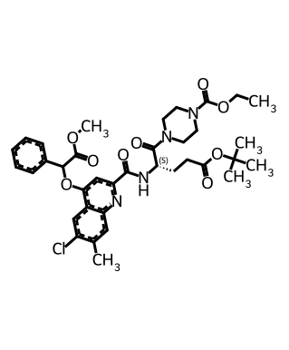 CCOC(=O)N1CCN(C(=O)[C@H](CCC(=O)OC(C)(C)C)NC(=O)c2cc(OC(C(=O)OC)c3ccccc3)c3cc(Cl)c(C)cc3n2)CC1